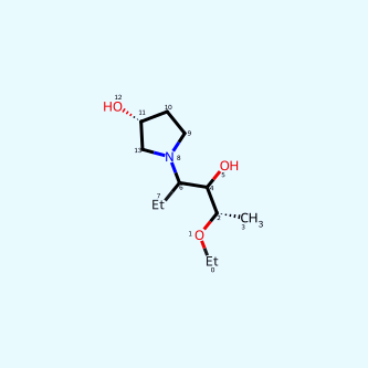 CCO[C@@H](C)C(O)C(CC)N1CC[C@@H](O)C1